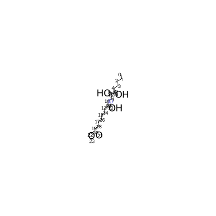 CCCCC[C@H](O)[C@@H](O)/C=C/[C@@H](O)CCCCCCCC(=O)OC